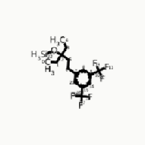 CCC(CC)(CCc1cc(C(F)(F)F)cc(C(F)(F)F)c1)O[SiH3]